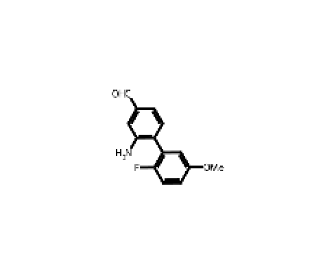 COc1ccc(F)c(-c2ccc(C=O)cc2N)c1